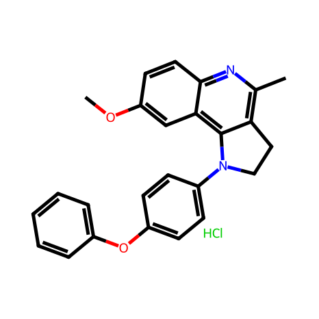 COc1ccc2nc(C)c3c(c2c1)N(c1ccc(Oc2ccccc2)cc1)CC3.Cl